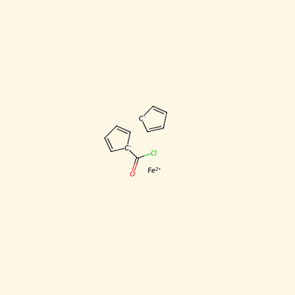 O=C(Cl)[c-]1cccc1.[Fe+2].c1cc[cH-]c1